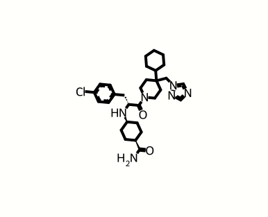 NC(=O)[C@H]1CC[C@@H](N[C@H](Cc2ccc(Cl)cc2)C(=O)N2CCC(Cn3cncn3)(C3CCCCC3)CC2)CC1